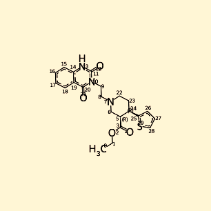 CCOC(=O)[C@H]1CN(CCn2c(=O)[nH]c3ccccc3c2=O)CC[C@H]1c1cccs1